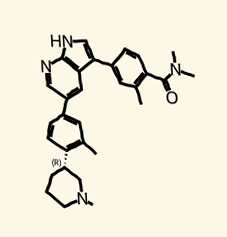 Cc1cc(-c2c[nH]c3ncc(-c4ccc([C@H]5CCCN(C)C5)c(C)c4)cc23)ccc1C(=O)N(C)C